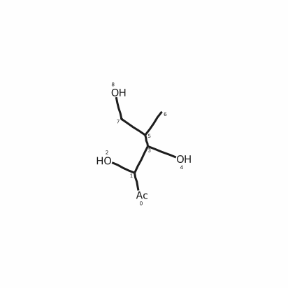 CC(=O)C(O)C(O)C(C)CO